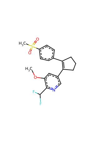 COc1cc(C2=C(c3ccc(S(C)(=O)=O)cc3)CCC2)cnc1C(F)F